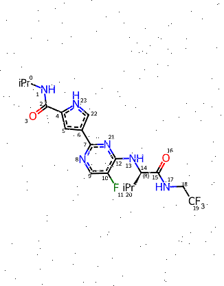 CC(C)NC(=O)c1cc(-c2ncc(F)c(N[C@@H](C(=O)NCC(F)(F)F)C(C)C)n2)c[nH]1